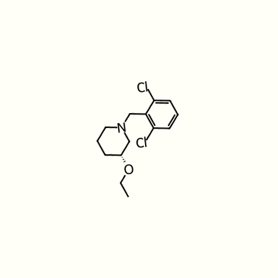 CCO[C@@H]1CCCN(Cc2c(Cl)cccc2Cl)C1